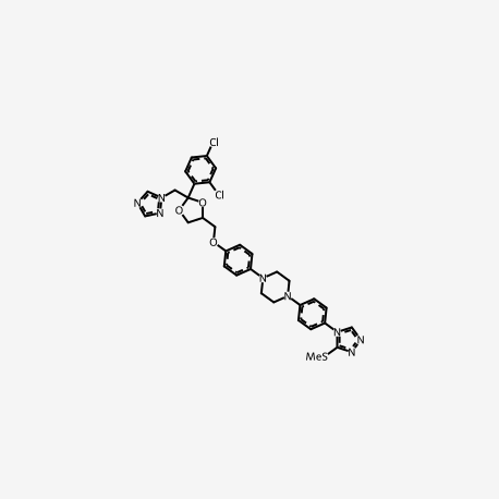 CSc1nncn1-c1ccc(N2CCN(c3ccc(OCC4COC(Cn5cncn5)(c5ccc(Cl)cc5Cl)O4)cc3)CC2)cc1